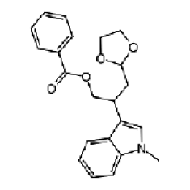 Cn1cc(C(COC(=O)c2ccccc2)CC2OCCO2)c2ccccc21